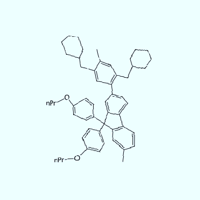 CCCOc1ccc(C2(c3ccc(OCCC)cc3)c3cc(C)ccc3-c3ccc(-c4cc(CC5CCCCC5)c(C)cc4CC4CCCCC4)cc32)cc1